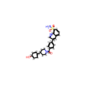 NS(=O)(=O)c1cccc2cc(-c3ccc(C(=O)N4CCC(c5ccc(O)cc5)CC4)cc3)cnc12